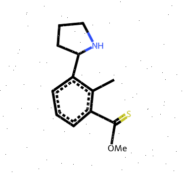 COC(=S)c1cccc(C2CCCN2)c1C